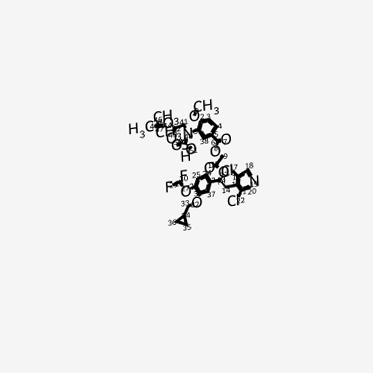 COc1ccc(C(=O)OCC(=O)O[C@@H](Cc2c(Cl)cncc2Cl)c2ccc(OC(F)F)c(OCC3CC3)c2)cc1N(CC(=O)OC(C)(C)C)[SH](=O)=O